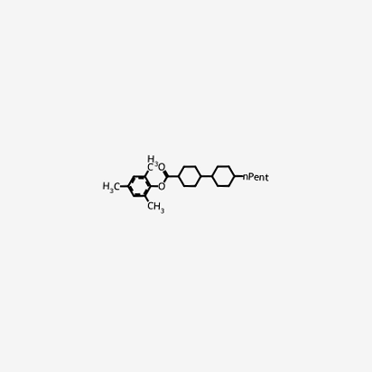 CCCCCC1CCC(C2CCC(C(=O)Oc3c(C)cc(C)cc3C)CC2)CC1